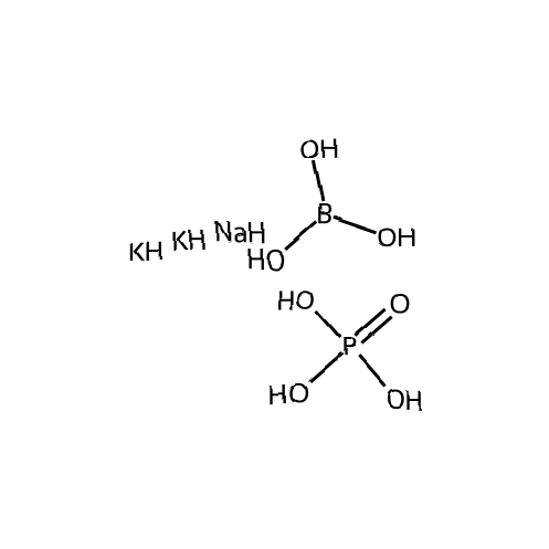 O=P(O)(O)O.OB(O)O.[KH].[KH].[NaH]